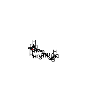 O=C(CNc1cccc2c1CN(C1CCC(=O)NC1=O)C2=O)NCCCCOCCN1CCN(c2nc(C3=C(c4c[nH]c5ccccc45)C(=O)NC3=O)c3ccccc3n2)CC1.O=CO